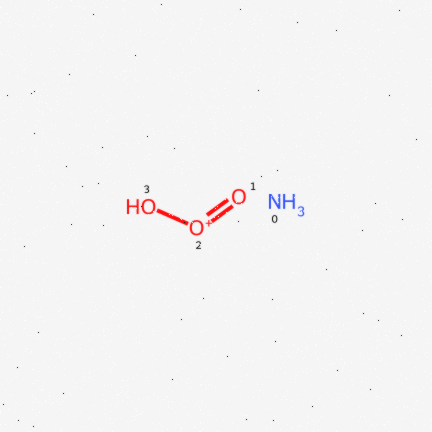 N.O=[O+]O